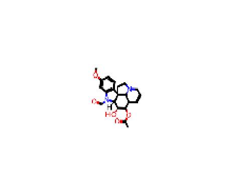 COc1ccc2c(c1)N(C=O)[C@H]1[C@H](O)C(OC(C)=O)C3C=CCN4CC[C@]21C34